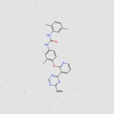 CNc1ncnc(-c2cccnc2Oc2ccc(NC(=O)Nc3cc(C)ccc3C)cc2C)n1